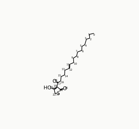 CCCCCCCCCCCC=CCCCCC(=O)C1=C(O)CSC1=O